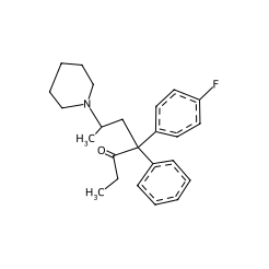 CCC(=O)C(CC(C)N1CCCCC1)(c1ccccc1)c1ccc(F)cc1